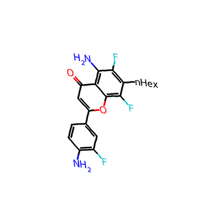 CCCCCCc1c(F)c(N)c2c(=O)cc(-c3ccc(N)c(F)c3)oc2c1F